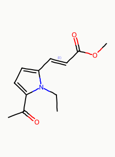 CCn1c(/C=C/C(=O)OC)ccc1C(C)=O